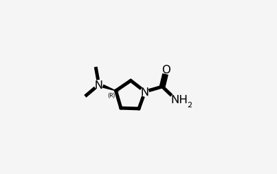 CN(C)[C@@H]1CCN(C(N)=O)C1